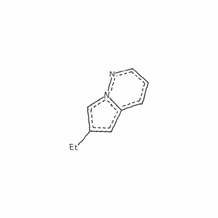 CCc1cc2cccnn2c1